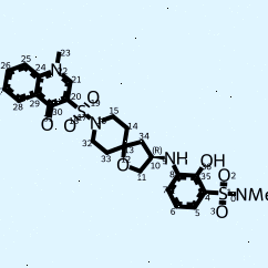 CNS(=O)(=O)c1cccc(N[C@H]2COC3(CCN(S(=O)(=O)c4cn(C)c5ccccc5c4=O)CC3)C2)c1O